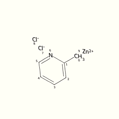 Cc1ccccn1.[Cl-].[Cl-].[Zn+2]